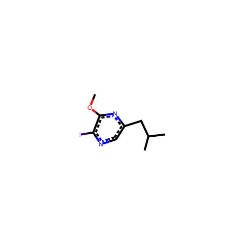 COc1nc(CC(C)C)cnc1I